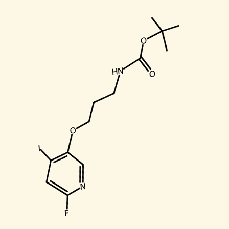 CC(C)(C)OC(=O)NCCCOc1cnc(F)cc1I